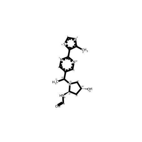 Cc1ncsc1-c1ncc(C(C)N2C[C@H](O)C[C@H]2NC=O)cn1